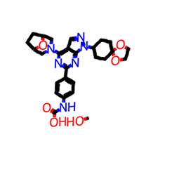 CO.O=C(O)Nc1ccc(-c2nc(N3CC4CCC(C3)O4)c3cnn(C4CCC5(CC4)OCCO5)c3n2)cc1